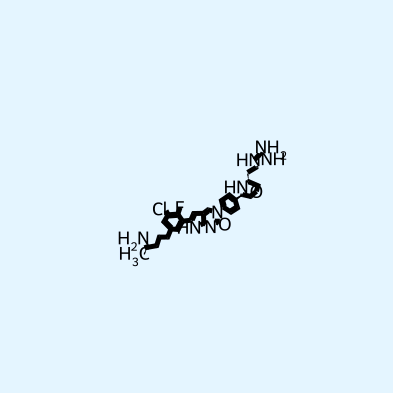 C[C@H](N)CCCc1cc(Cl)c(F)c(-c2cc3cn(-c4ccc([C@@H]5COC[C@@H](CCNC(=N)N)N5)cc4)c(=O)nc3[nH]2)c1